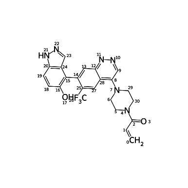 C=CC(=O)N1CCN(c2cnnc3cc(-c4c(O)ccc5[nH]ncc45)c(C(F)(F)F)cc23)CC1